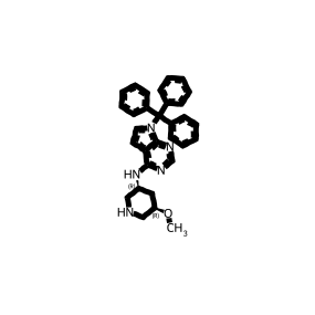 CO[C@H]1CNC[C@H](Nc2ncnc3c2ccn3C(c2ccccc2)(c2ccccc2)c2ccccc2)C1